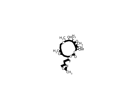 Cc1nc(C=C(F)[C@@H]2CC3OC3(C)CCC[C@H](C)[C@H](O)[C@@H](C)C(=O)C(C)(C)[C@@H](O)CC(=O)O2)co1